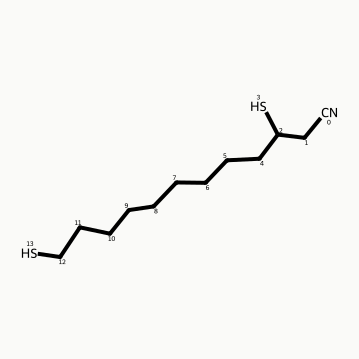 N#CCC(S)CCCCCCCCCS